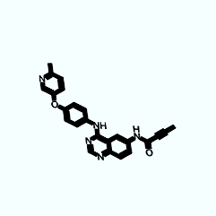 CC#CC(=O)Nc1ccc2ncnc(Nc3ccc(Oc4ccc(C)nc4)cc3)c2c1